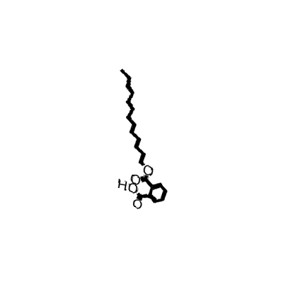 CCCCCCCCCCCCCOC(=O)c1ccccc1C(=O)O